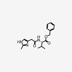 Cc1nc(CC(=O)N[C@H](C(=O)OCc2ccccc2)C(C)C)c[nH]1